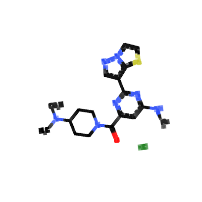 CC[C@H](C)Nc1cc(C(=O)N2CCC(N(C)C(=O)O)CC2)nc(-c2cnn3ccsc23)n1.Cl